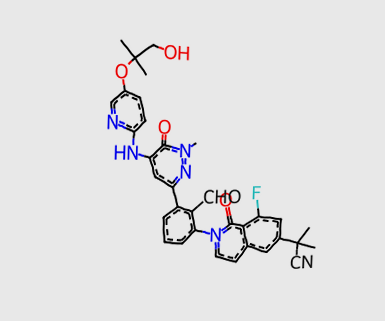 Cn1nc(-c2cccc(-n3ccc4cc(C(C)(C)C#N)cc(F)c4c3=O)c2C=O)cc(Nc2ccc(OC(C)(C)CO)cn2)c1=O